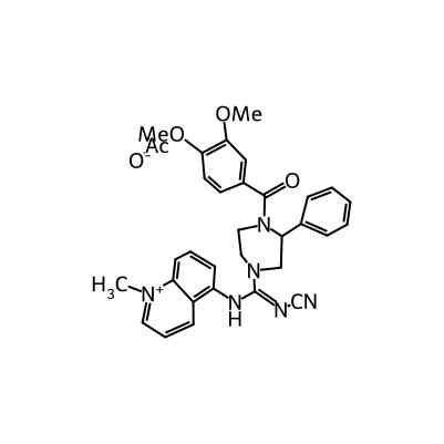 CC(=O)[O-].COc1ccc(C(=O)N2CCN(C(=NC#N)Nc3cccc4c3ccc[n+]4C)CC2c2ccccc2)cc1OC